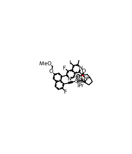 COCOc1cc(-c2ncc3c(N4CC5CCC(C4)N5C(=O)OC(C)(C)C)nc(C)c(I)c3c2F)c2c(C#C[Si](C(C)C)(C(C)C)C(C)C)c(F)ccc2c1